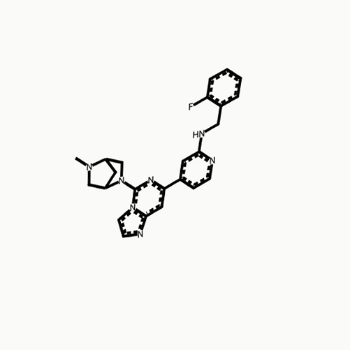 CN1CC2CC1CN2c1nc(-c2ccnc(NCc3ccccc3F)c2)cc2nccn12